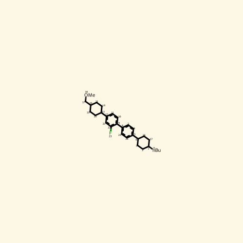 CCCCC1CCC(c2ccc(-c3ccc(C4CCC(COC)CC4)cc3F)cc2)CC1